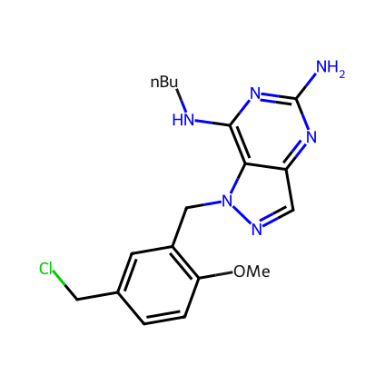 CCCCNc1nc(N)nc2cnn(Cc3cc(CCl)ccc3OC)c12